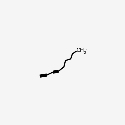 [C]#CC#CCCCC[CH2]